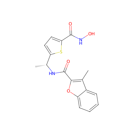 Cc1c(C(=O)N[C@H](C)c2ccc(C(=O)NO)s2)oc2ccccc12